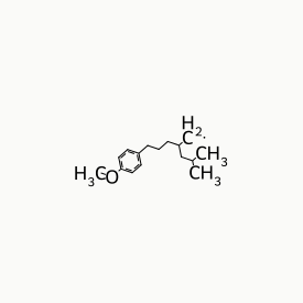 [CH2]C(CCCc1ccc(OC)cc1)CC(C)C